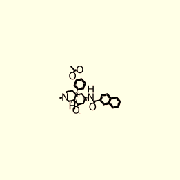 COC1C[C@@H](NC(=O)c2ccc3ccccc3c2)C[C@]2(c3cccc(OC(C)=O)c3)CCN(C)C[C@@H]12